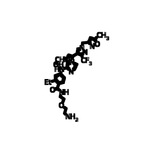 CCc1cc(Nc2nccn3c(-c4cn(Cc5cc(C)on5)nc4C(F)(F)F)cnc23)ccc1C(=O)NCCOCCN.O=CO